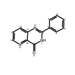 O=c1[nH]c(-c2ccccc2)nc2cccnc12